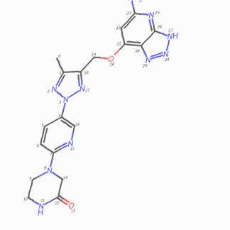 Cc1nn(-c2ccc(N3CCNC(=O)C3)nc2)nc1COc1cc(N)nc2[nH]nnc12